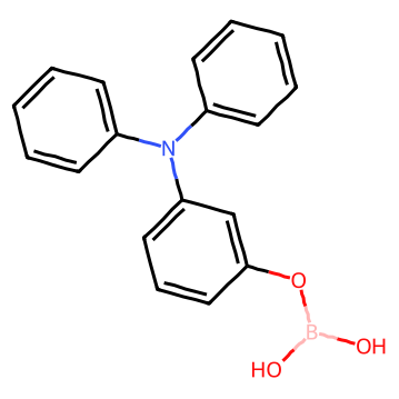 OB(O)Oc1cccc(N(c2ccccc2)c2ccccc2)c1